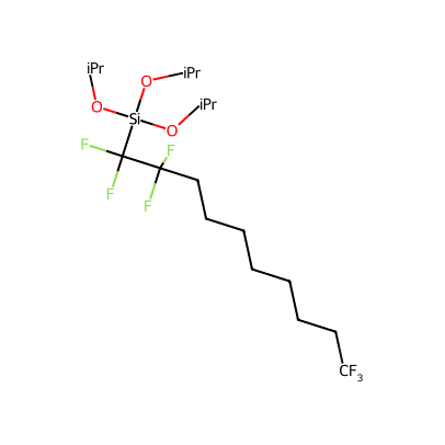 CC(C)O[Si](OC(C)C)(OC(C)C)C(F)(F)C(F)(F)CCCCCCCC(F)(F)F